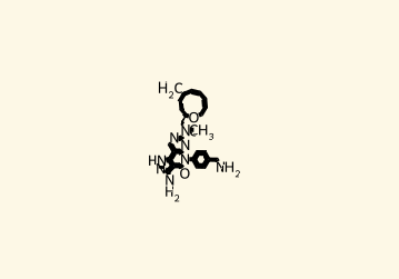 C=C1/C=C\C=C/CO[C@@H](CN(C)c2ncc3c4[nH]nc(N)c4c(=O)n(-c4ccc(CN)cc4)c3n2)CC1